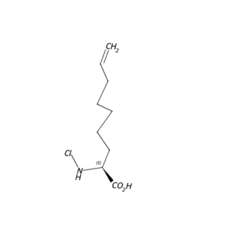 C=CCCCCC[C@H](NCl)C(=O)O